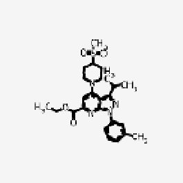 CCOC(=O)c1cc(N2CCC(S(C)(=O)=O)CC2)c2c(C(C)C)nn(-c3cccc(C)c3)c2n1